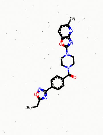 CC(C)(C)Cc1nc(-c2ccc(C(=O)N3CCN(c4nc5nc(C#N)ccc5o4)CC3)cc2)no1